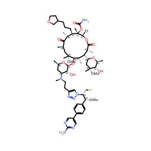 CC[C@H]1OC(=O)[C@H](C)C([C@H]2C[C@@](C)(OC)[C@@H](O)[C@H](C)O2)[C@H](C)[C@@H](O[C@@H]2O[C@H](C)C[C@H](N(C)CCc3cn([C@H](CF)[C@H](OC)c4ccc(-c5cnc(N)nc5)cc4)nn3)[C@H]2O)[C@](C)(OC)C[C@@H](C)C(=O)[C@H](C)[C@@H](CCCC2CCOC2)[C@]1(C)OC(N)=O